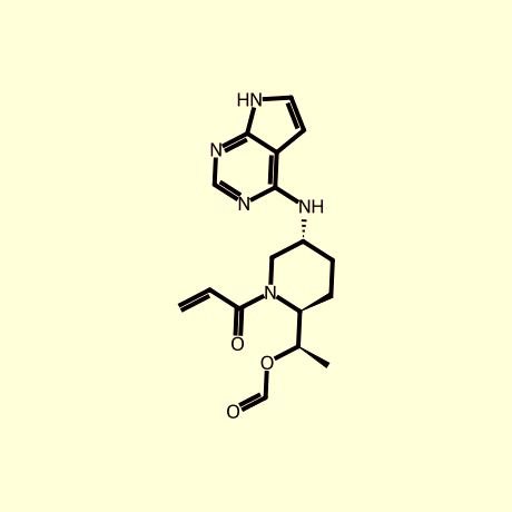 C=CC(=O)N1C[C@H](Nc2ncnc3[nH]ccc23)CC[C@H]1[C@@H](C)OC=O